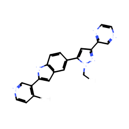 CCn1nc(-c2cnccn2)cc1-c1ccc2[nH]c(-c3cnccc3C)cc2c1